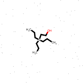 CCC[Si](CCC)(CCC)CCO